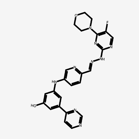 Oc1cc(Nc2ccc(/C=N/Nc3ncc(F)c(N4CCOCC4)n3)nc2)cc(-c2ccncn2)c1